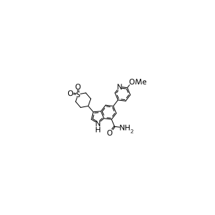 COc1ccc(-c2cc(C(N)=O)c3[nH]cc(C4CCS(=O)(=O)CC4)c3c2)cn1